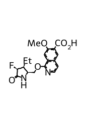 CC[C@@H]1[C@H](F)C(=O)N[C@@H]1COc1nccc2cc(C(=O)O)c(OC)cc12